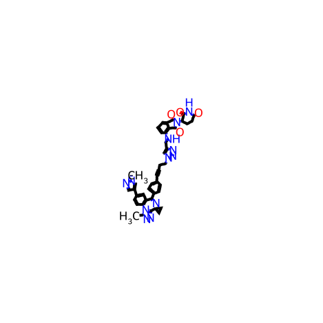 Cc1nnc2n1-c1ccc(-c3cnn(C)c3)cc1C(c1ccc(C#CCCn3cc(CNc4cccc5c4C(=O)N(C4CCC(=O)NC4=O)C5=O)nn3)cc1)=NC21CC1